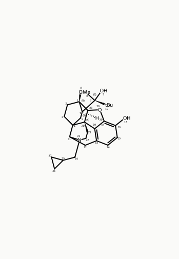 CO[C@]12CCC3(C[C@@H]1[C@](C)(O)C(C)(C)C)C1Cc4ccc(O)c5c4[C@@]3(CCN1CC1CC1)C2O5